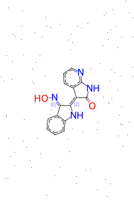 O=C1Nc2ncccc2/C1=C1/Nc2ccccc2/C1=N\O